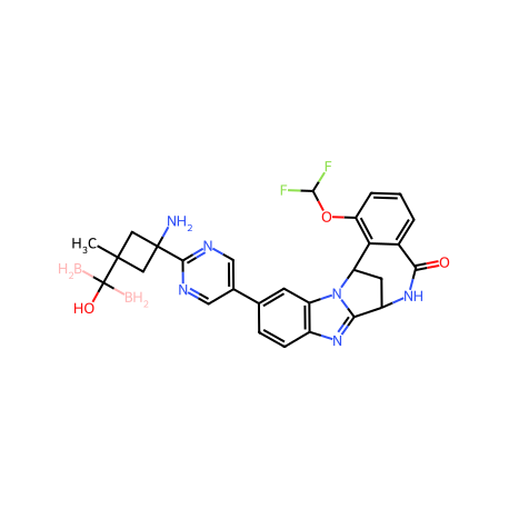 BC(B)(O)C1(C)CC(N)(c2ncc(-c3ccc4nc5n(c4c3)C3CC5NC(=O)c4cccc(OC(F)F)c43)cn2)C1